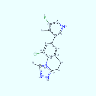 Cc1c(F)cncc1-c1cc(Cl)c2c(c1)CCc1nnc(C)n1-2